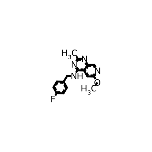 COc1cc2c(NCc3ccc(F)cc3)nc(C)nc2cn1